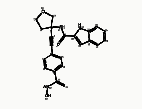 O=C(NC1(C#Cc2ccc(C(=S)NO)cc2)CCOC1)c1cc2ccccc2[nH]1